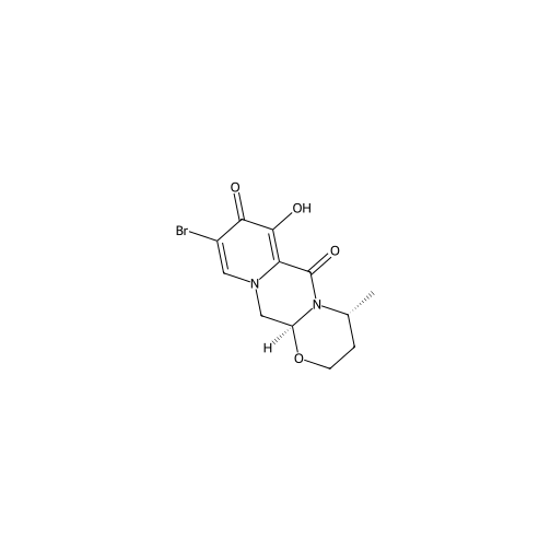 C[C@@H]1CCO[C@H]2Cn3cc(Br)c(=O)c(O)c3C(=O)N12